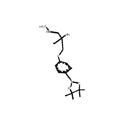 CCCC(C)(CNC(=O)O)COc1ccc(B2OC(C)(C)C(C)(C)O2)cc1